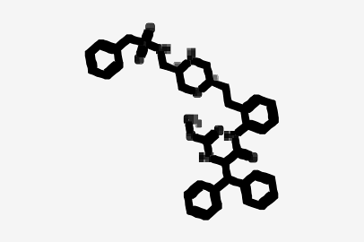 COC(=O)NC(C(=O)Nc1ccccc1CC[C@@H]1CN[C@H](CNS(=O)(=O)Cc2ccccc2)CO1)C(c1ccccc1)c1ccccc1